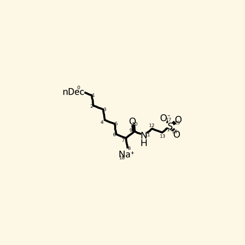 CCCCCCCCCCCCCCCCC(C)C(=O)NCCS(=O)(=O)[O-].[Na+]